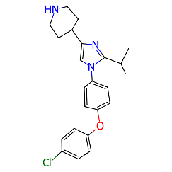 CC(C)c1nc(C2CCNCC2)cn1-c1ccc(Oc2ccc(Cl)cc2)cc1